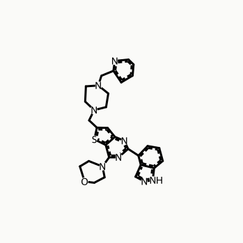 c1ccc(CN2CCN(Cc3cc4nc(-c5cccc6[nH]ncc56)nc(N5CCOCC5)c4s3)CC2)nc1